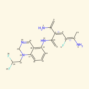 C=C(N)/C(=C/C(F)=C(\C)N)C(=C)Nc1cccc2c1C=NCN2CC(F)F